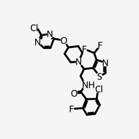 O=C(NCC(c1scnc1C(F)F)N1CCC(Oc2ccnc(Cl)n2)CC1)c1c(F)cccc1Cl